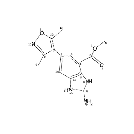 COC(=O)c1cc(-c2c(C)noc2C)cc2c1NC(N)N2